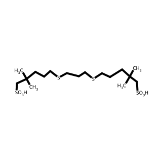 CC(C)(CCCSCCCSCCCC(C)(C)CS(=O)(=O)O)CS(=O)(=O)O